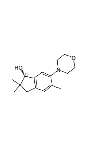 Cc1cc2c(cc1N1CCOCC1)[C@H](O)C(C)(C)C2